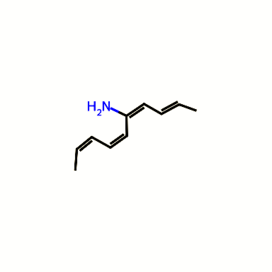 C\C=C/C=C\C(N)=C/C=C/C